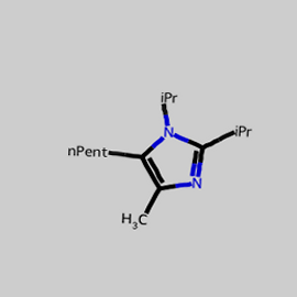 CCCCCc1c(C)nc(C(C)C)n1C(C)C